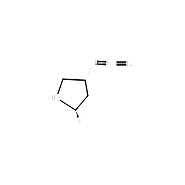 CC[C@@H]1C[C@@H](N=[N+]=[N-])CN1